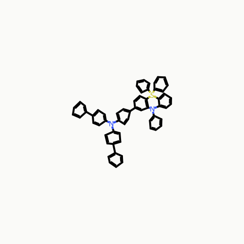 c1ccc(-c2ccc(N(c3ccc(-c4ccccc4)cc3)c3ccc(-c4ccc5c(c4)N(c4ccccc4)c4ccccc4S5(c4ccccc4)c4ccccc4)cc3)cc2)cc1